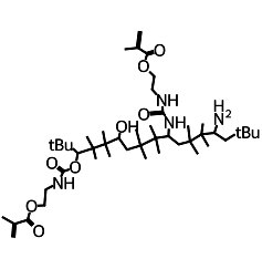 C=C(C)C(=O)OCCNC(=O)NC(CC(C)(C)C(C)(C)C(N)CC(C)(C)C)C(C)(C)C(C)(C)CC(O)C(C)(C)C(C)(C)C(OC(=O)NCCOC(=O)C(=C)C)C(C)(C)C